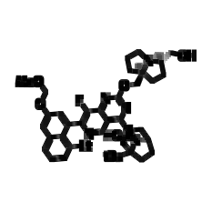 CCc1cccc2cc(OCOC)cc(-c3ncc4c(N5CC6CCC(C(C)(C)C)(C5)N6C(=O)O)nc(OC[C@@]56CCCN5[C@H](CO)CC6)nc4c3F)c12